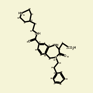 O=C(O)CC1Nc2cc(C(=O)NCCC3CCNCC3)ccc2CN(CCc2ccccc2)C1=O